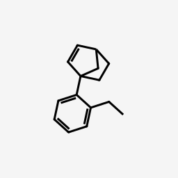 CCc1ccccc1C12C=CC(CC1)C2